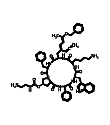 C=C=C/C(=C\C=C(/C)OCc1ccccc1)CC1NC(=O)C(CCCCN)NC(=O)[C@@H](Cc2c[nH]c3ccccc23)NC(=O)C(c2ccccc2)NC(=O)C2C[C@@H](OC(=O)NCCN)CN2C(=O)C(Cc2ccccc2)NC1=O